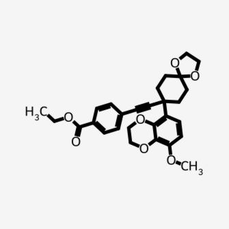 CCOC(=O)c1ccc(C#CC2(c3ccc(OC)c4c3OCCO4)CCC3(CC2)OCCO3)cc1